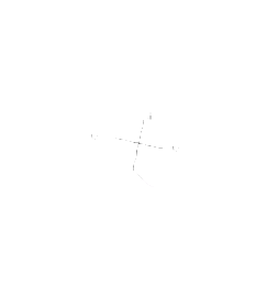 COC([SiH3])(CI)OC